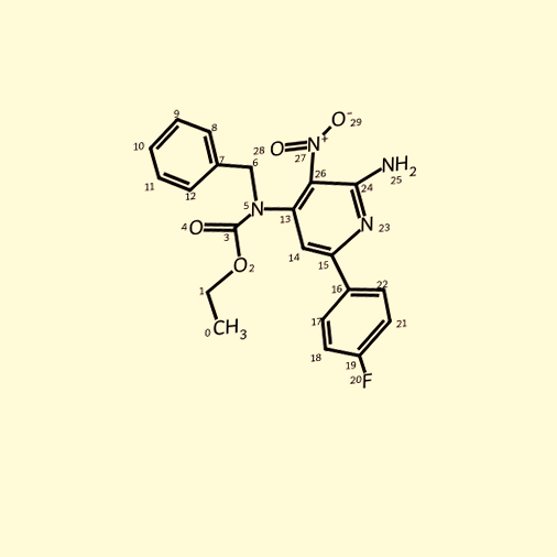 CCOC(=O)N(Cc1ccccc1)c1cc(-c2ccc(F)cc2)nc(N)c1[N+](=O)[O-]